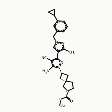 Cc1nn(Cc2cccc(C3CC3)c2)cc1-c1nn([C@H]2C[C@@]3(CCN(C(=O)OC(C)(C)C)C3)C2)c(N)c1C#N